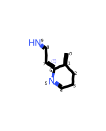 C=C1CCC=N/C1=C/C=N